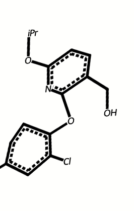 CC(C)Oc1ccc(CO)c(Oc2ccc(Cl)cc2Cl)n1